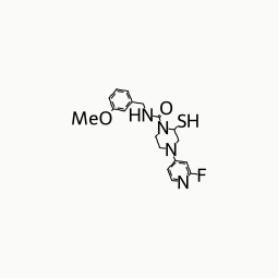 COc1cccc(CNC(=O)N2CCN(c3ccnc(F)c3)CC2S)c1